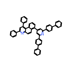 c1ccc(-c2ccc(-c3cc(-c4cccc5c4ccc4nc(-c6ccccc6)cc(-c6ccccc6)c45)cc(-c4ccc(-c5ccccc5)cc4)n3)cc2)cc1